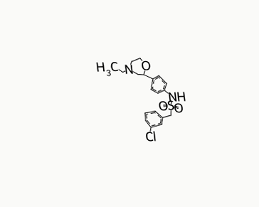 CCN1CCOC(c2ccc(NS(=O)(=O)Cc3cccc(Cl)c3)cc2)C1